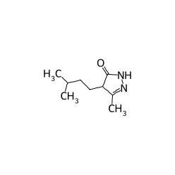 CC1=NNC(=O)C1CCC(C)C